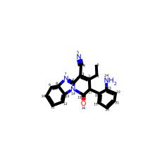 CCC1=C(C#N)c2nc3ccccc3n2C(=O)C1c1ccccc1N